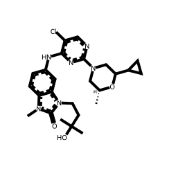 C[C@@H]1CN(c2ncc(Cl)c(Nc3ccc4c(c3)n(CCC(C)(C)O)c(=O)n4C)n2)CC(C2CC2)O1